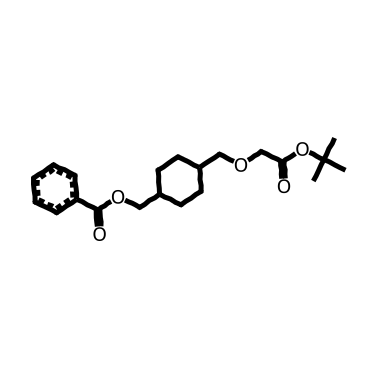 CC(C)(C)OC(=O)COCC1CCC(COC(=O)c2ccccc2)CC1